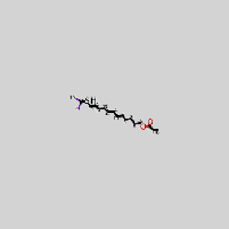 C=CC(=O)OCCCCCCCCCCCC[SiH2]C(I)I